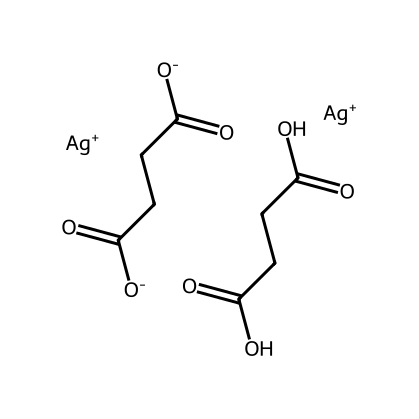 O=C(O)CCC(=O)O.O=C([O-])CCC(=O)[O-].[Ag+].[Ag+]